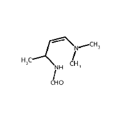 CC(/C=C\N(C)C)NC=O